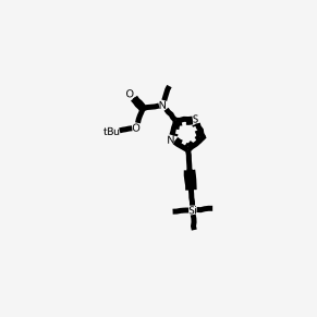 CN(C(=O)OC(C)(C)C)c1nc(C#C[Si](C)(C)C)cs1